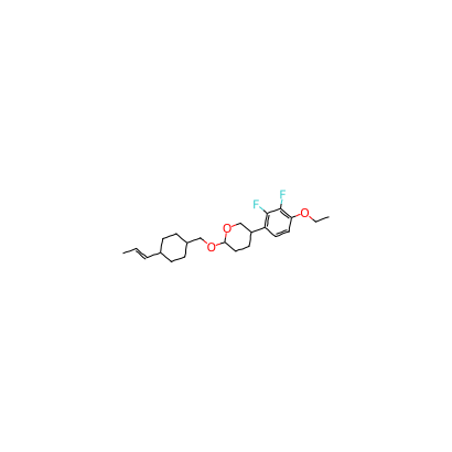 C/C=C/C1CCC(COC2CCC(c3ccc(OCC)c(F)c3F)CO2)CC1